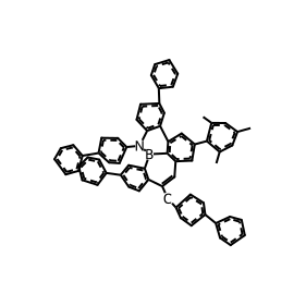 Cc1cc(C)c(-c2cc3c4c(c2)-c2cc(-c5ccccc5)ccc2N(c2ccc(-c5ccccc5)cc2)B4c2cc(-c4ccccc4)ccc2C(Cc2ccc(-c4ccccc4)cc2)=C3)c(C)c1